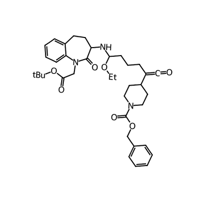 CCOC(CCCC(=C=O)C1CCN(C(=O)OCc2ccccc2)CC1)NC1CCc2ccccc2N(CC(=O)OC(C)(C)C)C1=O